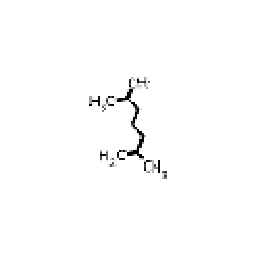 [CH]=C(C)CCCC(=C)C